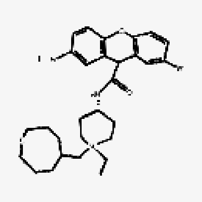 CC[N@+]1(CC2CCCCCCC2)CC[C@@H](NC(=O)C2c3cc(Br)ccc3Oc3ccc(Br)cc32)CC1.[I-]